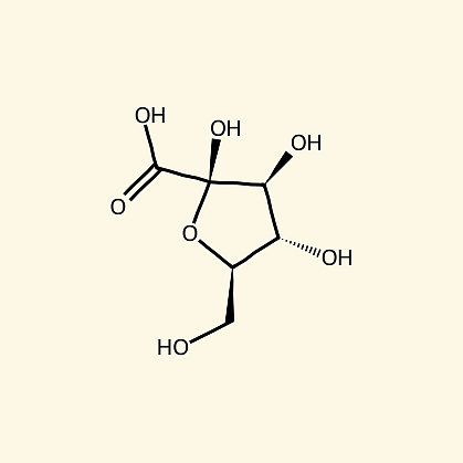 O=C(O)[C@@]1(O)O[C@H](CO)[C@@H](O)[C@@H]1O